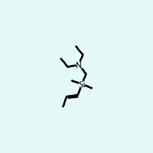 CC=C[Si](C)(C)CN(CC)CC